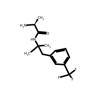 C[C@H](N)C(=O)NC(C)(C)Cc1cccc(C(F)(F)F)c1